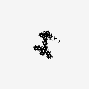 CCc1nc2cccc3c2n1-c1cc(-c2ccc(-c4ccc5c(-c6ccc7ccccc7c6)c6ccccc6c(-c6ccc7ccccc7c6)c5c4)cc2)ccc1P3(=O)c1ccccc1